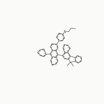 CCCSc1ccc(-c2ccc3c(-c4ccccc4)c4ccccc4c(-c4cc5c(c6ccccc46)-c4ccccc4C5(C)C)c3c2)cc1